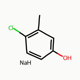 Cc1cc(O)ccc1Cl.[NaH]